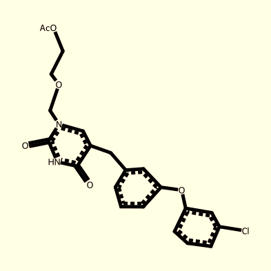 CC(=O)OCCOCn1cc(Cc2cccc(Oc3cccc(Cl)c3)c2)c(=O)[nH]c1=O